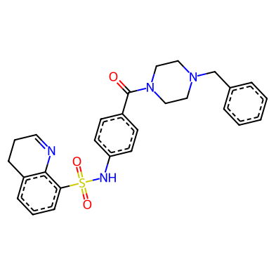 O=C(c1ccc(NS(=O)(=O)c2cccc3c2N=CCC3)cc1)N1CCN(Cc2ccccc2)CC1